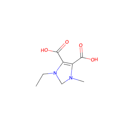 CCN1CN(C)C(C(=O)O)=C1C(=O)O